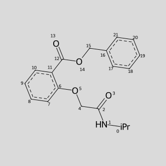 CC(C)NC(=O)COc1ccccc1C(=O)OCc1ccccc1